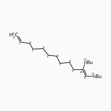 C=CCCCCCCCC/C(=C/CCCC)CCCC